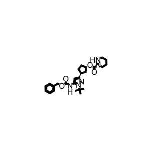 CC(C)(C)n1nc([C@H]2CC[C@@H](OC(=O)N3CCCCN3)C2)cc1NC(=O)OCc1ccccc1